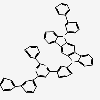 c1ccc(-c2cccc(-c3cc(-c4cccc(-n5c6ccccc6c6cc7c(cc65)c5ccccc5n7-c5cccc(-c6ccccc6)c5)c4)nc(-c4ccccc4)n3)c2)cc1